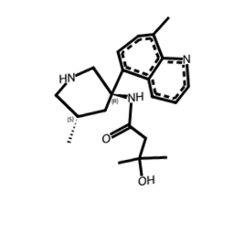 Cc1ccc([C@@]2(NC(=O)CC(C)(C)O)CNC[C@@H](C)C2)c2cccnc12